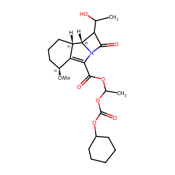 CO[C@H]1CCC[C@H]2C1=C(C(=O)OC(C)OC(=O)OC1CCCCC1)N1C(=O)C(C(C)O)[C@@H]21